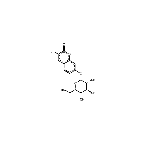 Cc1cc2ccc(O[C@H]3O[C@H](CO)[C@@H](O)[C@H](O)[C@H]3O)cc2oc1=O